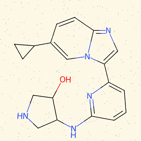 OC1CNCC1Nc1cccc(-c2cnc3ccc(C4CC4)cn23)n1